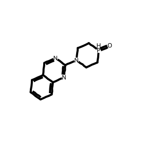 O=[PH]1CCN(c2ncc3ccccc3n2)CC1